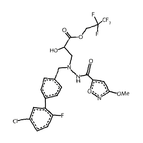 COc1cc(C(=O)NN(Cc2ccc(-c3cc(Cl)ccc3F)cc2)CC(O)C(=O)OCC(F)(F)C(F)(F)F)on1